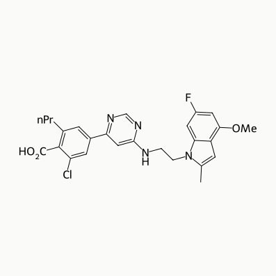 CCCc1cc(-c2cc(NCCn3c(C)cc4c(OC)cc(F)cc43)ncn2)cc(Cl)c1C(=O)O